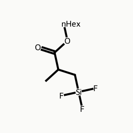 CCCCCCOC(=O)C(C)C[Si](F)(F)F